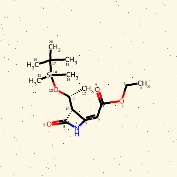 CCOC(=O)/C=C1/NC(=O)[C@@H]1[C@@H](C)O[Si](C)(C)C(C)(C)C